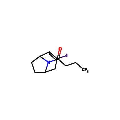 O=C(CCC(F)(F)F)N1C2C=C(I)CC1CC2